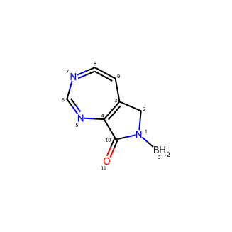 BN1CC2=C(N=CN=C=C2)C1=O